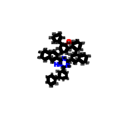 c1ccc(-c2cccc(C3N=C(c4cc(-c5cccc6oc7c(-c8ccccc8)cccc7c56)c5ccccc5c4)N=C(c4ccc5ccccc5c4)N3)c2)cc1